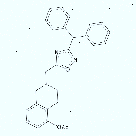 CC(=O)Oc1cccc2c1CCC(Cc1nc(C(c3ccccc3)c3ccccc3)no1)C2